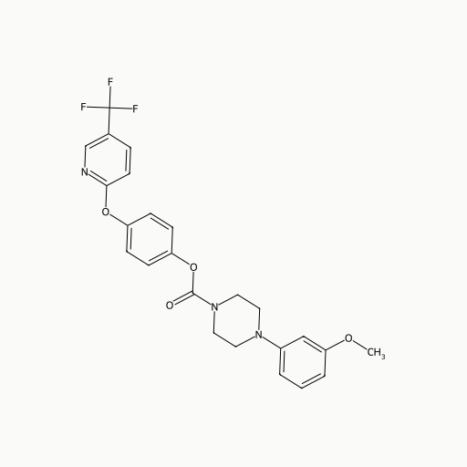 COc1cccc(N2CCN(C(=O)Oc3ccc(Oc4ccc(C(F)(F)F)cn4)cc3)CC2)c1